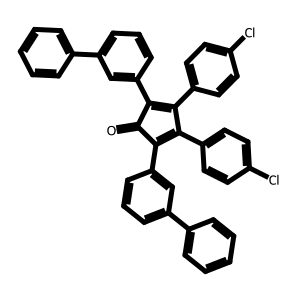 O=C1C(c2cccc(-c3ccccc3)c2)=C(c2ccc(Cl)cc2)C(c2ccc(Cl)cc2)=C1c1cccc(-c2ccccc2)c1